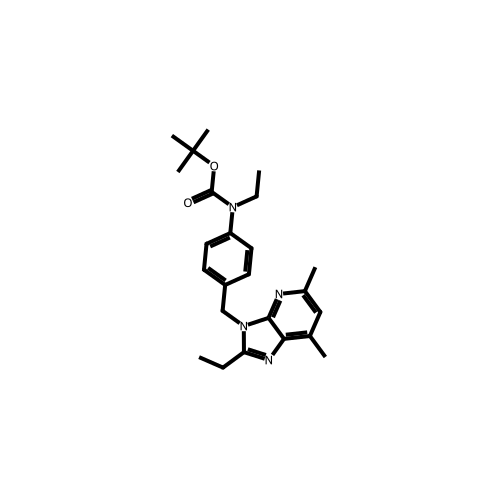 CCc1nc2c(C)cc(C)nc2n1Cc1ccc(N(CC)C(=O)OC(C)(C)C)cc1